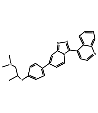 CC(CN(C)C)Oc1ccc(-c2ccn3c(-c4ccnc5ccccc45)nnc3c2)cc1